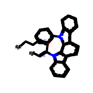 C/C=C(\C=C/CCC)n1c2ccccc2c2ccc3c4ccccc4n(-c4ccccc4)c3c21